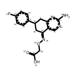 Nc1ncc2c(n1)CC(c1ccc(F)cc1)CC2=NOCC(=O)O